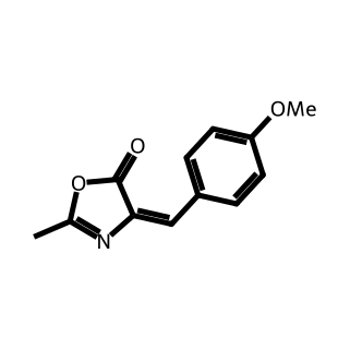 COc1ccc(C=C2N=C(C)OC2=O)cc1